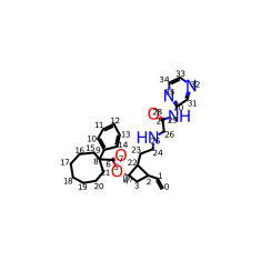 C=CC1C[C@H](OC(=O)C2(c3ccccc3)CCCCCCC2)C1CCNCC(=O)Nc1cnccn1